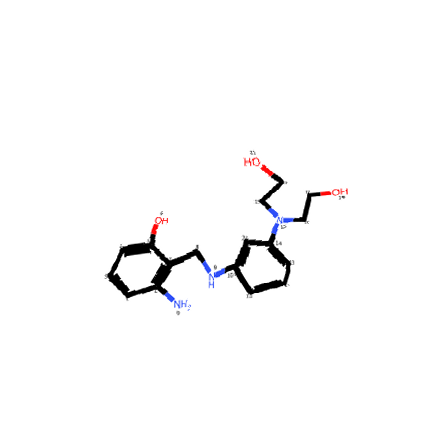 Nc1cccc(O)c1CNc1cccc(N(CCO)CCO)c1